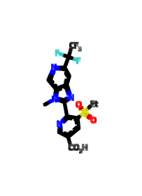 CCS(=O)(=O)c1cc(C(=O)O)cnc1-c1nc2cc(C(F)(F)C(F)(F)F)ncc2n1C